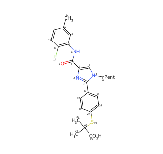 CCCCCn1cc(C(=O)Nc2cc(C)ccc2F)nc1-c1ccc(SC(C)(C)C(=O)O)cc1